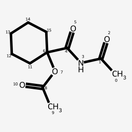 CC(=O)NC(=O)C1(OC(C)=O)CCCCC1